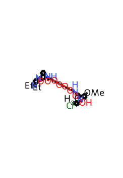 CC[N+](CC)=c1ccc2nc3c(cc(NC(=O)CCOCCOCCOCCOCCNC(=O)Cc4c(C)n(C(O)c5ccc(Cl)cc5)c5ccc(OC)cc45)c4ccccc43)oc-2c1